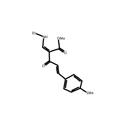 CCN/C=C(/C(=O)/C=C/c1ccc(SC)cc1)C(=O)OC